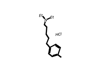 CCN(CC)CCCCCc1ccc(C)cc1.Cl